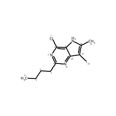 CCCCc1nc(Cl)c2[nH]c(C)c(I)c2n1